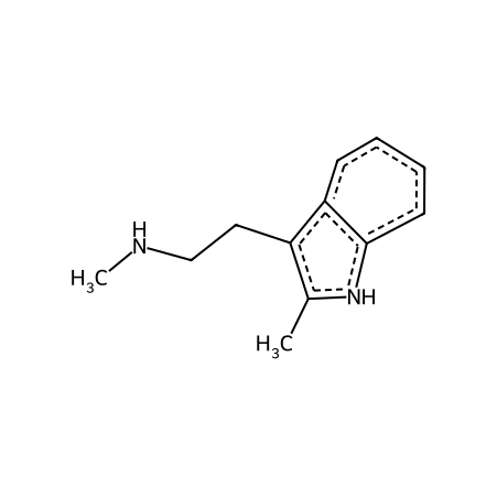 CNCCc1c(C)[nH]c2ccccc12